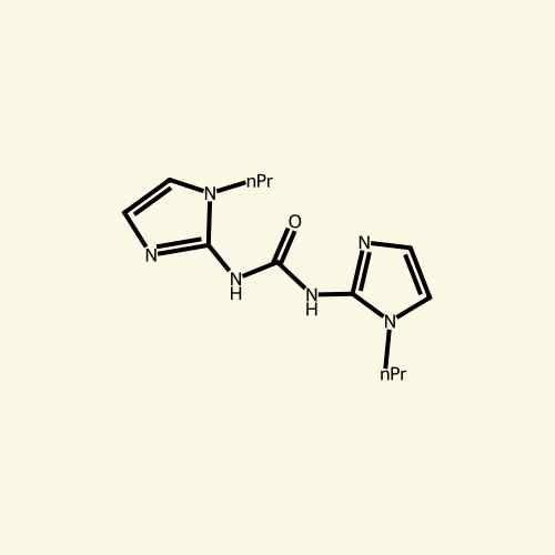 CCCn1ccnc1NC(=O)Nc1nccn1CCC